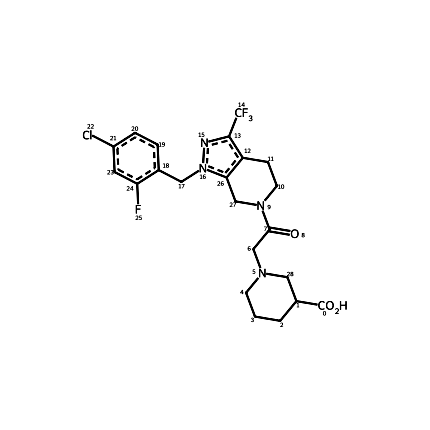 O=C(O)C1CCCN(CC(=O)N2CCc3c(C(F)(F)F)nn(Cc4ccc(Cl)cc4F)c3C2)C1